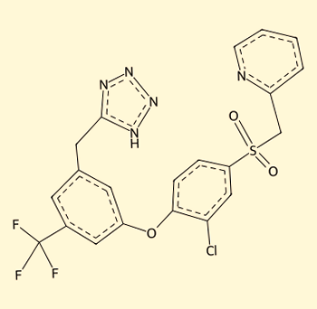 O=S(=O)(Cc1ccccn1)c1ccc(Oc2cc(Cc3nnn[nH]3)cc(C(F)(F)F)c2)c(Cl)c1